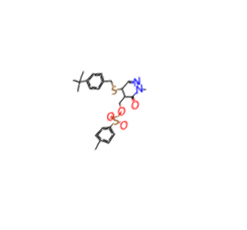 Cc1ccc(S(=O)(=O)OCC2C(=O)N(C)N=CC2SCc2ccc(C(C)(C)C)cc2)cc1